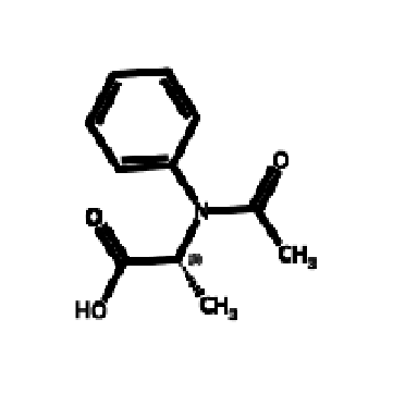 CC(=O)N(c1ccccc1)[C@H](C)C(=O)O